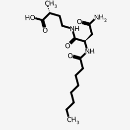 CCCCCCCC(=O)N[C@H](CC(N)=O)C(=O)NCC[C@@H](C)C(=O)O